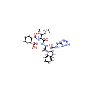 CCC(C)C(NC(=O)[C@H]1CCCC[C@H]1C(=O)O)C(=O)NCC(=O)N1c2ccccc2C[C@H]1C(=O)NCc1nn[nH]n1